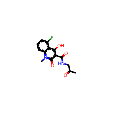 CC(=O)CNC(=O)c1c(O)c2c(F)cccc2n(C)c1=O